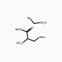 CCCCCCCCCCC(C(=O)OC)S(=O)(=O)O.O=S(=O)(O)[CH2][Na]